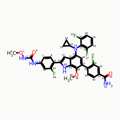 CONC(=O)Nc1ccc(-c2cc3c(N(c4c(F)cccc4F)C4CC4)cc(-c4ccc(C(N)=O)cc4F)c(OC)c3[nH]2)c(F)c1